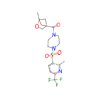 Cc1nc(C(F)(F)F)ccc1S(=O)(=O)N1CCN(C(=O)C23COC(C)(C2)C3)CC1